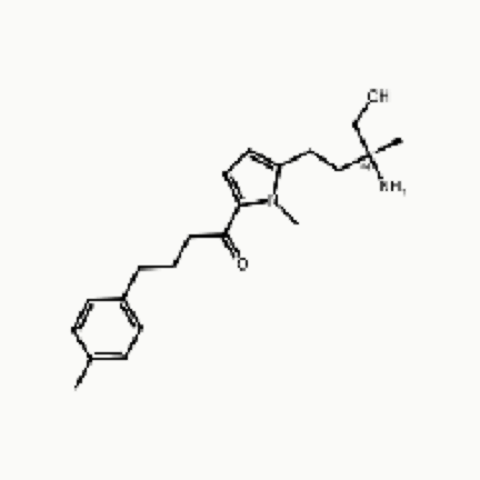 Cc1ccc(CCCC(=O)c2ccc(CC[C@@](C)(N)CO)n2C)cc1